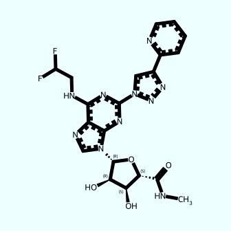 CNC(=O)[C@H]1O[C@@H](n2cnc3c(NCC(F)F)nc(-n4cc(-c5ccccn5)nn4)nc32)[C@H](O)[C@@H]1O